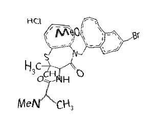 CNC(C)C(=O)NC1C(=O)N(Cc2c(OC)ccc3cc(Br)ccc23)c2ccccc2SC1(C)C.Cl